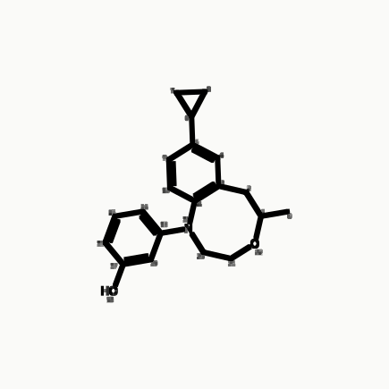 CC1Cc2cc(C3CC3)ccc2N(c2cccc(O)c2)CCO1